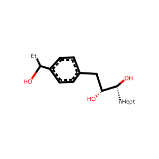 CCCCCCC[C@@H](O)[C@H](O)Cc1ccc(C(O)CC)cc1